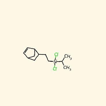 CC(C)[Si](Cl)(Cl)CCC1CC2C=CC1C2